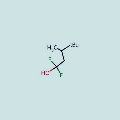 CC(CC(O)(F)F)C(C)(C)C